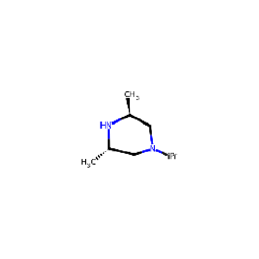 CC(C)N1C[C@H](C)N[C@@H](C)C1